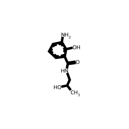 CC(O)CNC(=O)c1cccc(N)c1O